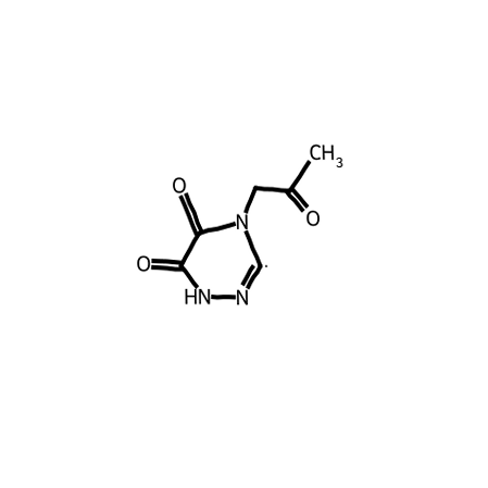 CC(=O)Cn1[c]n[nH]c(=O)c1=O